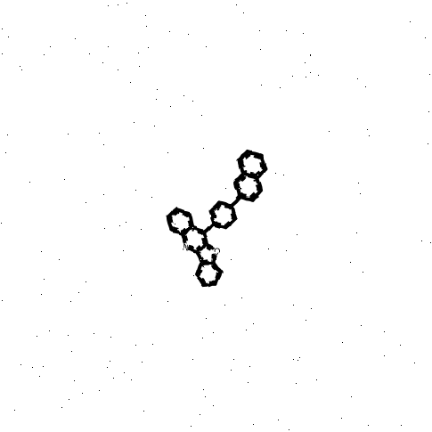 c1ccc2cc(-c3ccc(-c4c5ccccc5nc5c4oc4ccccc45)cc3)ccc2c1